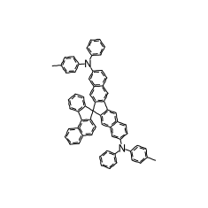 Cc1ccc(N(c2ccccc2)c2ccc3cc4c(cc3c2)C2(c3cc5cc(N(c6ccccc6)c6ccc(C)cc6)ccc5cc3-4)c3ccccc3-c3c2ccc2ccccc32)cc1